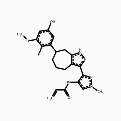 C=CC(=O)Nc1cn(C)nc1-c1n[nH]c2c1CCCC(c1cc(O)cc(OC)c1F)C2